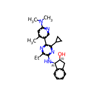 CCc1nc(-c2cnc(N(C)C)cc2C)c(C2CC2)nc1N[C@@H]1c2ccccc2C[C@@H]1O